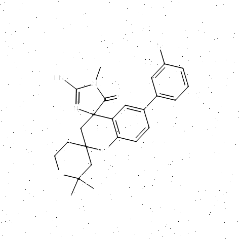 [C-]#[N+]c1cccc(-c2ccc3c(c2)C2(CC4(CCOC(C)(C)C4)O3)N=C(N)N(C)C2=O)c1